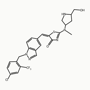 CN(C1=NC(=O)C(=Cc2ccc3c(cnn3Cc3ccc(Cl)cc3C(F)(F)F)c2)S1)C1CNC(CO)C1